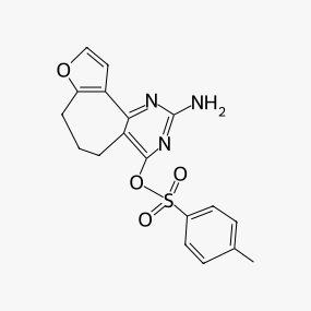 Cc1ccc(S(=O)(=O)Oc2nc(N)nc3c2CCCc2occc2-3)cc1